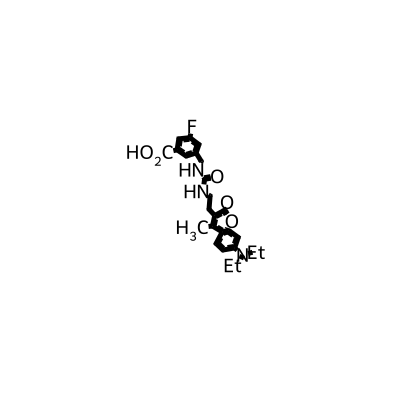 CCN(CC)c1ccc2c(C)c(CCNC(=O)NCc3cc(F)cc(C(=O)O)c3)c(=O)oc2c1